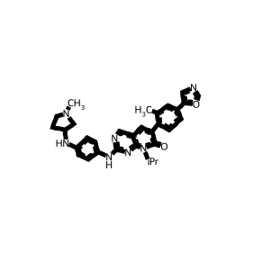 Cc1cc(-c2cnco2)ccc1-c1cc2cnc(Nc3ccc(NC4CCN(C)C4)cc3)nc2n(C(C)C)c1=O